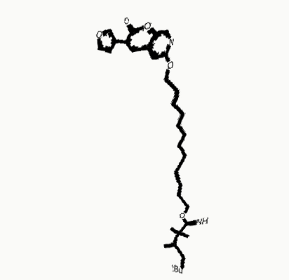 CC(CC(C)(C)C)C(C)(C)C(=N)OCCCCCCCCCCCCOc1cc2cc(-c3ccoc3)c(=O)oc2cn1